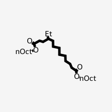 CCCCCCCCOC(=O)CCCCCCCCC(CC)CCC(=O)OCCCCCCCC